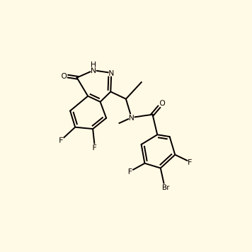 CC(c1n[nH]c(=O)c2cc(F)c(F)cc12)N(C)C(=O)c1cc(F)c(Br)c(F)c1